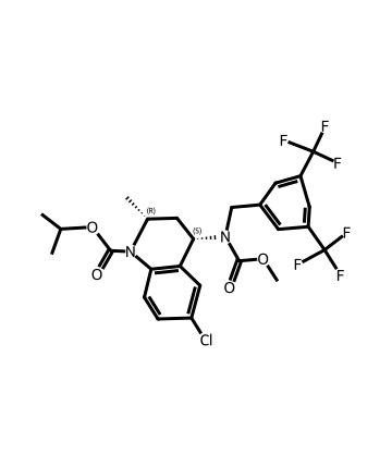 COC(=O)N(Cc1cc(C(F)(F)F)cc(C(F)(F)F)c1)[C@H]1C[C@@H](C)N(C(=O)OC(C)C)c2ccc(Cl)cc21